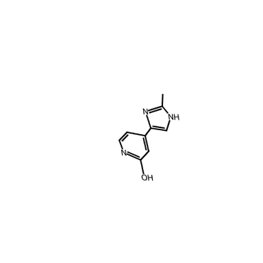 Cc1nc(-c2ccnc(O)c2)c[nH]1